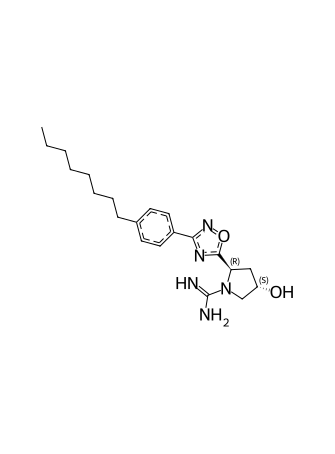 CCCCCCCCc1ccc(-c2noc([C@H]3C[C@H](O)CN3C(=N)N)n2)cc1